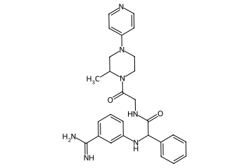 CC1CN(c2ccncc2)CCN1C(=O)CNC(=O)C(Nc1cccc(C(=N)N)c1)c1ccccc1